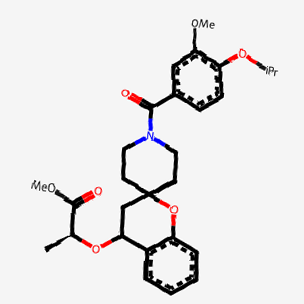 COC(=O)[C@H](C)OC1CC2(CCN(C(=O)c3ccc(OC(C)C)c(OC)c3)CC2)Oc2ccccc21